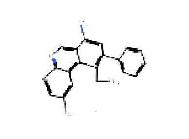 CCc1c(-c2ccccc2)cc(N)c2cnc3ccc(N)cc3c12.Cl